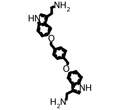 NCCc1c[nH]c2ccc(OCc3ccc(COc4ccc5[nH]cc(CCN)c5c4)cc3)cc12